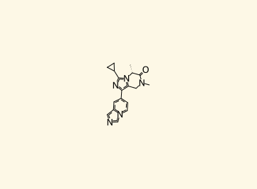 C[C@@H]1C(=O)N(C)Cc2c(-c3ccn4cncc4c3)nc(C3CC3)n21